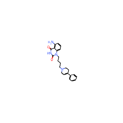 Nc1cccc2c1c(=O)[nH]c(=O)n2CCCCN1CC=C(c2ccccc2)CC1